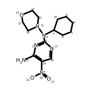 Nc1nc(N(C2CCCCC2)N2CCOCC2)ncc1[N+](=O)[O-]